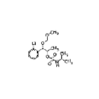 COCOC(c1ccccc1Cl)C(C)OS(=O)(=O)NC(C)C